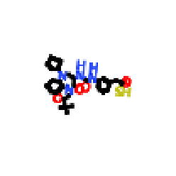 CC(C)(C)C(=O)CN1C(=O)C(NC(=O)Nc2cccc(CC(=O)S)c2)CN(c2ccccc2)c2ccccc21